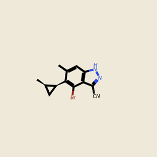 Cc1cc2[nH]nc(C#N)c2c(Br)c1[C@H]1C[C@H]1C